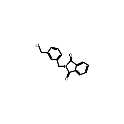 O=C1c2ccccc2C(=O)N1Cc1cccc(CCl)c1